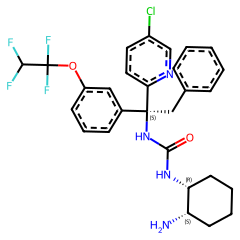 N[C@H]1CCCC[C@H]1NC(=O)N[C@@](Cc1ccccc1)(c1cccc(OC(F)(F)C(F)F)c1)c1ccc(Cl)cn1